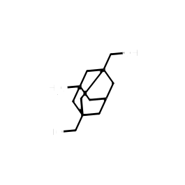 [CH2]C12CC3CC(CO)(C1)CC(CO)(C3)C2